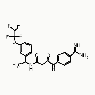 CC(NC(=O)CC(=O)Nc1ccc(C(=N)N)cc1)c1cccc(OC(F)(F)C(F)F)c1